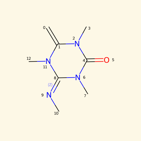 C=C1N(C)C(=O)N(C)/C(=N\C)N1C